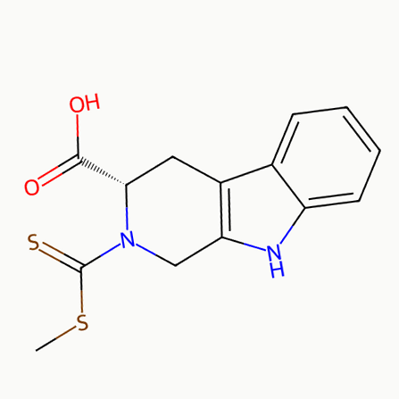 CSC(=S)N1Cc2[nH]c3ccccc3c2C[C@H]1C(=O)O